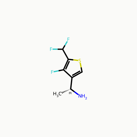 C[C@@H](N)c1csc(C(F)F)c1F